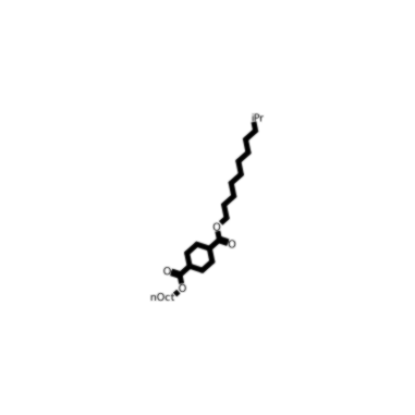 CCCCCCCCOC(=O)C1CCC(C(=O)OCCCCCCCCCC(C)C)CC1